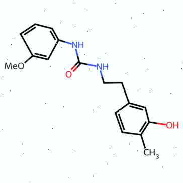 COc1cccc(NC(=O)NCCc2ccc(C)c(O)c2)c1